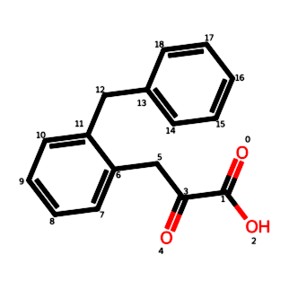 O=C(O)C(=O)Cc1ccccc1Cc1ccccc1